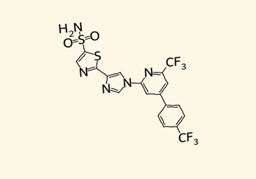 NS(=O)(=O)c1cnc(-c2cn(-c3cc(-c4ccc(C(F)(F)F)cc4)cc(C(F)(F)F)n3)cn2)s1